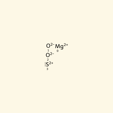 [Mg+2].[O-2].[O-2].[S+2]